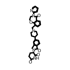 O=C1CCC(N2Cc3cc(C4CCN(Cc5cccc6c5OCCN(c5ccccn5)C6=O)CC4)ccc3C2=O)C(=O)N1